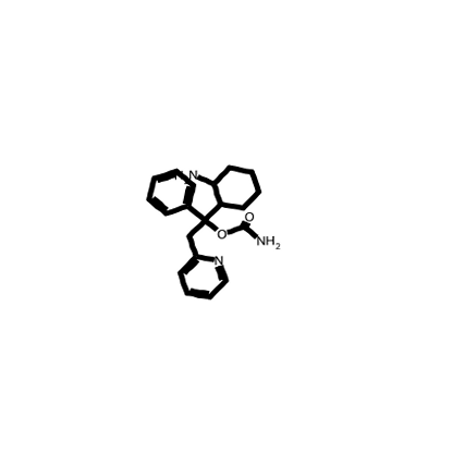 NC(=O)OC(Cc1ccccn1)(c1ccccc1)C1CCCCC1N